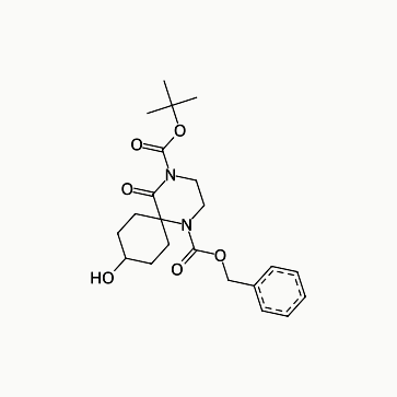 CC(C)(C)OC(=O)N1CCN(C(=O)OCc2ccccc2)C2(CCC(O)CC2)C1=O